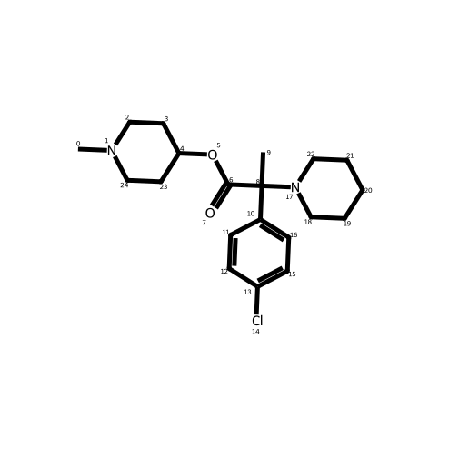 CN1CCC(OC(=O)C(C)(c2ccc(Cl)cc2)N2CCCCC2)CC1